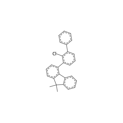 CC1(C)c2ccccc2-c2c(-c3cccc(-c4ccccc4)c3Cl)cccc21